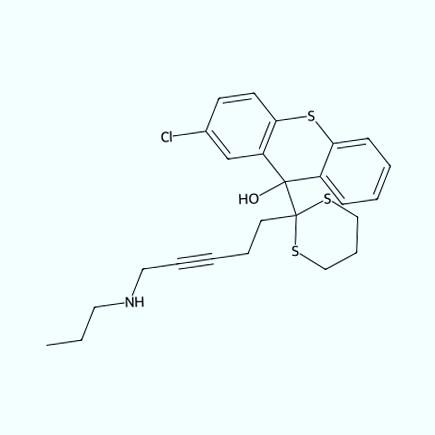 CCCNCC#CCCC1(C2(O)c3ccccc3Sc3ccc(Cl)cc32)SCCCS1